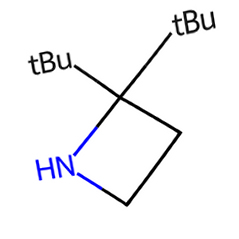 CC(C)(C)C1(C(C)(C)C)CCN1